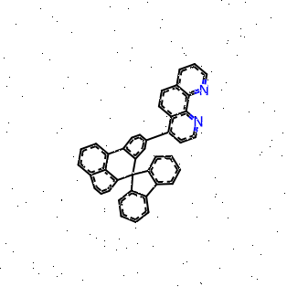 c1ccc2c(c1)-c1ccccc1C21c2cc(-c3ccnc4c3ccc3cccnc34)ccc2-c2cccc3cccc1c23